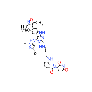 CCn1nc(C2CC2)cc1Nc1nc(CNCCCCNc2cccc3c2CN(C2CCC(=O)NC2=O)C3=O)nc2[nH]c3cc(-c4c(C)noc4C)c(OC)cc3c12